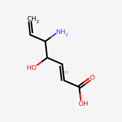 C=CC(N)C(O)/C=C/C(=O)O